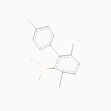 COc1ccc(OC)c(P(C(C)(C)C)C(C)(C)C)c1-c1ccc(C)cc1